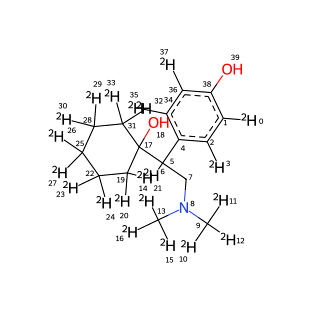 [2H]c1c([2H])c(C([2H])(CN(C([2H])([2H])[2H])C([2H])([2H])[2H])C2(O)C([2H])([2H])C([2H])([2H])C([2H])([2H])C([2H])([2H])C2([2H])[2H])c([2H])c([2H])c1O